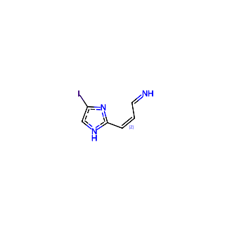 N=C/C=C\c1nc(I)c[nH]1